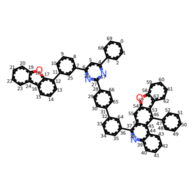 c1ccc(-c2cc(-c3cccc(-c4cccc5c4oc4ccccc45)c3)nc(-c3ccc(-c4cccc(-c5nc6ccccc6c6c(-c7ccccc7)c7c(cc56)oc5ccccc57)c4)cc3)n2)cc1